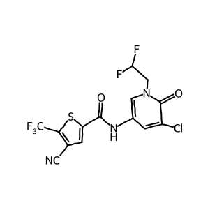 N#Cc1cc(C(=O)Nc2cc(Cl)c(=O)n(CC(F)F)c2)sc1C(F)(F)F